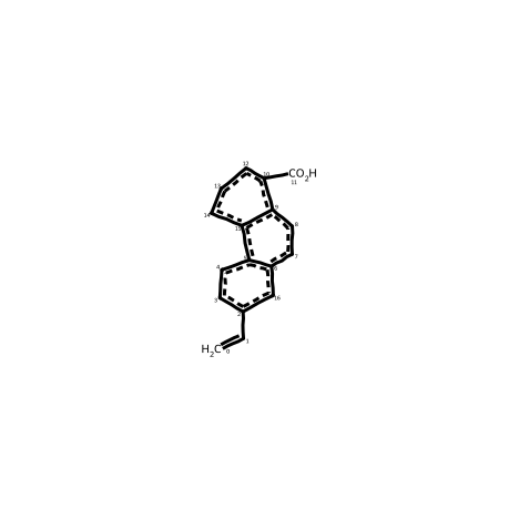 C=Cc1ccc2c(ccc3c(C(=O)O)cccc32)c1